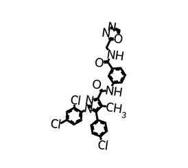 Cc1c(C(=O)Nc2cccc(C(=O)NCc3nnco3)c2)nn(-c2ccc(Cl)cc2Cl)c1-c1ccc(Cl)cc1